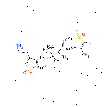 CC1=C(F)S(=O)(=O)c2ccc(C(C)(C)C(C)(C)c3ccc4c(c3)C(CCN)=CS4(=O)=O)cc21